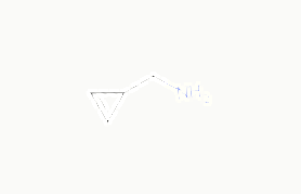 NCC1C=C1